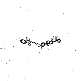 CCC(CC)(c1ccc(C#CC2(O)CCCC2)c(C)c1)c1ccc(OCCCCCN2C(=O)c3ccccc3C2=O)c(C)c1